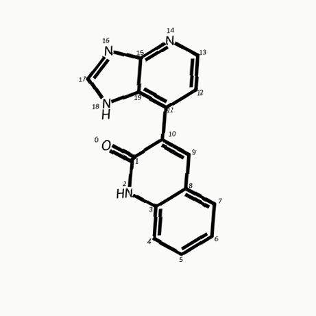 O=c1[nH]c2ccccc2cc1-c1ccnc2nc[nH]c12